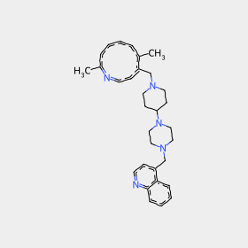 Cc1ccccc(C)c(CN2CCC(N3CCN(Cc4ccnc5ccccc45)CC3)CC2)ccn1